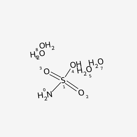 NS(=O)(=O)O.O.O.O.O